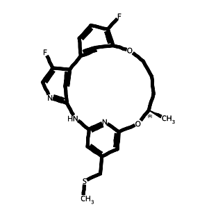 CSCc1cc2nc(c1)O[C@H](C)CCCOc1cc(ccc1F)-c1cc(ncc1F)N2